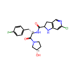 O=C(N[C@@H](Cc1ccc(F)cc1)C(=O)N1CC[C@H](O)C1)C1Cc2cnc(Cl)cc2N1